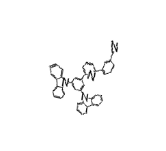 N#Cc1cccc(-c2cccc(-c3cc(-n4c5ccccc5c5ccccc54)cc(-n4c5ccccc5c5ccccc54)c3)n2)c1